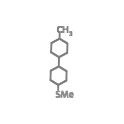 CSC1CCC(C2CCC(C)CC2)CC1